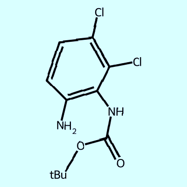 CC(C)(C)OC(=O)Nc1c(N)ccc(Cl)c1Cl